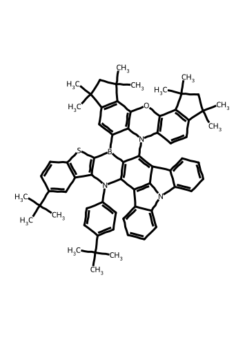 CC(C)(C)c1ccc(N2c3c(sc4ccc(C(C)(C)C)cc34)B3c4cc5c(c6c4N(c4ccc7c(c4O6)C(C)(C)CC7(C)C)c4c3c2c2c3ccccc3n3c6ccccc6c4c23)C(C)(C)CC5(C)C)cc1